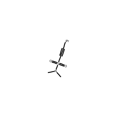 CC(C)C#CS(=O)(=O)N(C)C